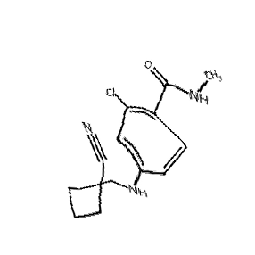 CNC(=O)c1ccc(NC2(C#N)CCC2)cc1Cl